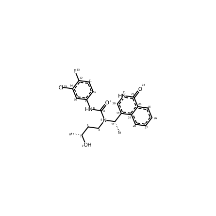 C[C@@H](O)CCN(C(=O)Nc1ccc(F)c(Cl)c1)[C@@H](C)c1c[nH]c(=O)c2ccccc12